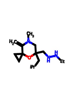 C=C1N(C)CC(CNNCC)(CC(C)C)OC12CC2